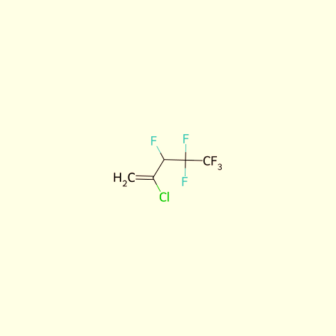 C=C(Cl)C(F)C(F)(F)C(F)(F)F